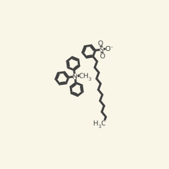 CCCCCCCCCCCCc1ccccc1S(=O)(=O)[O-].C[N+](c1ccccc1)(c1ccccc1)c1ccccc1